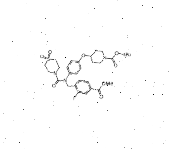 COC(=O)c1ccc(CN(C(=O)N2CCS(=O)(=O)CC2)c2ccc(OC3CCN(C(=O)OC(C)(C)C)CC3)cc2)c(F)c1